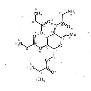 CO[C@H]1O[C@H](COC(=O)[C@H](C)N)[C@@H](OC(=O)CN)[C@H](OC(=O)CN)[C@H]1OC(=O)CN